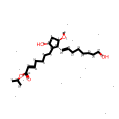 CO[C@@H]1C[C@H](O)C(CCCCC=CC(=O)OC(C)C)[C@H]1/C=C/CCCCCCO